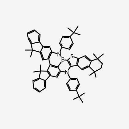 CC(C)(C)c1ccc(N2B3c4sc5cc6c(cc5c4N(c4ccc(C(C)(C)C)cc4)c4cc5c(c(c43)-c3cc4c(cc32)-c2ccccc2C4(C)C)C(C)(C)c2ccccc2-5)C(C)(C)CCC6(C)C)cc1